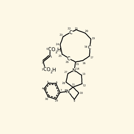 O=C(O)C=CC(=O)O.c1ccc(N2CCC23CCN(C2CCCCCCCCCCC2)CC3)cc1